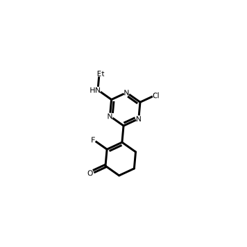 CCNc1nc(Cl)nc(C2=C(F)C(=O)CCC2)n1